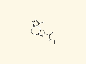 CCOC(=O)c1cc2c(s1)CCCn1ncc(F)c1-2